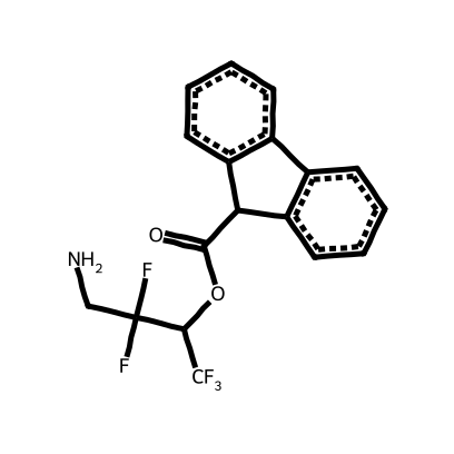 NCC(F)(F)C(OC(=O)C1c2ccccc2-c2ccccc21)C(F)(F)F